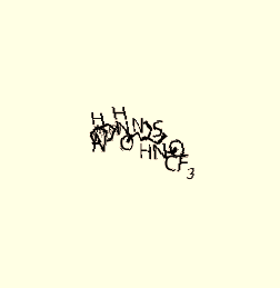 O=C(N[C@@H]1C[C@H]2CCN(C2)C1)c1cc2c(NC(=O)C(F)(F)F)csc2cn1